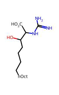 CCCCCCCCCCCCC(O)C(NC(=N)N)C(=O)O